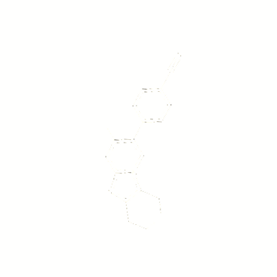 N#Cc1ccc(-c2cn3c4c(nc3cc2F)CCOC4)cc1